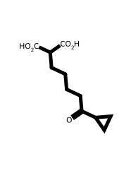 O=C(CCCCC(C(=O)O)C(=O)O)C1CC1